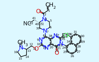 C=CC(=O)N1CCN(c2nc(OCC3CCCN3C)nc3c(=O)n(-c4cccc5cccc(Cl)c45)c(CC)nc23)C[C@@H]1CC#N